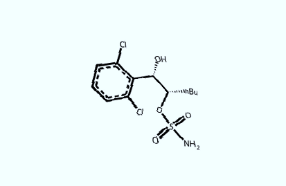 CCCC[C@H](OS(N)(=O)=O)[C@@H](O)c1c(Cl)cccc1Cl